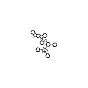 c1ccc(-c2cc(-c3nc(-c4ccccc4)nc(-c4ccccc4)n3)c3c(c2)oc2c(-n4c5ccccc5c5cc6c(cc54)sc4ccccc46)cccc23)cc1